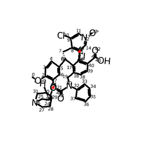 COc1ccc([C@H](Cc2c(Cl)c[n+]([O-])cc2Cl)c2c(CN(C(=O)O[C@H]3CN4CCC3CC4)c3ccccc3)ccc(C(=O)O)c2F)cc1OC